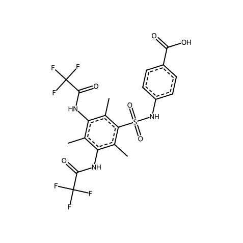 Cc1c(NC(=O)C(F)(F)F)c(C)c(S(=O)(=O)Nc2ccc(C(=O)O)cc2)c(C)c1NC(=O)C(F)(F)F